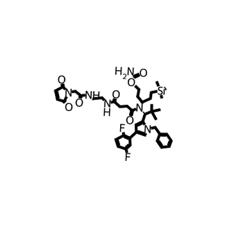 CC(C)(C)[C@H](c1cc(-c2cc(F)ccc2F)cn1Cc1ccccc1)N(C(=O)CCC(=O)NCCNC(=O)CN1C(=O)C=CC1=O)C(CCOC(N)=O)CC[Si](C)(C)C